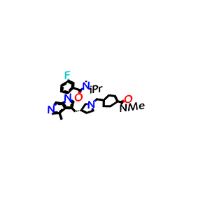 CNC(=O)C1CCC(CN2CC[C@H](Cc3cn(-c4ccc(F)cc4C(=O)N(C)C(C)C)c4cncc(C)c34)C2)CC1